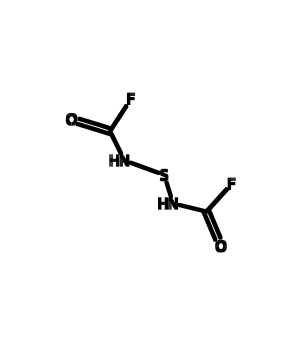 O=C(F)NSNC(=O)F